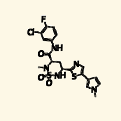 CN1[C@@H](C(=O)Nc2ccc(F)c(Cl)c2)C[C@@H](c2ncc(-c3ccn(C)c3)s2)NS1(=O)=O